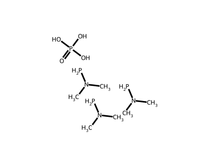 CN(C)P.CN(C)P.CN(C)P.O=P(O)(O)O